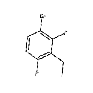 CCc1c(F)ccc(Br)c1F